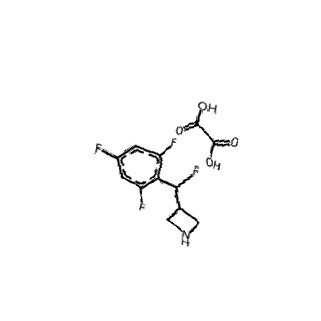 Fc1cc(F)c(C(F)C2CNC2)c(F)c1.O=C(O)C(=O)O